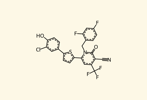 N#Cc1c(C(F)(F)F)cc(-c2ccc(-c3ccc(O)c(Cl)c3)s2)n(Cc2ccc(F)cc2F)c1=O